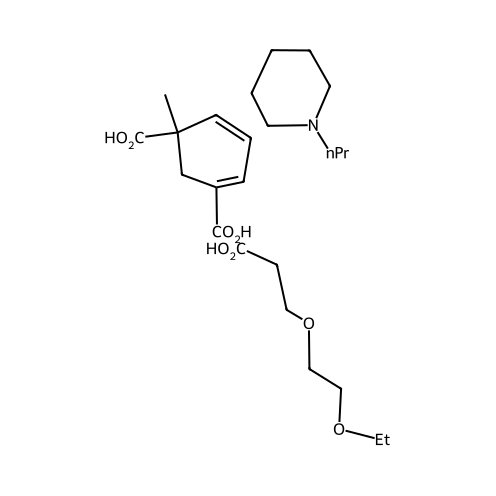 CC1(C(=O)O)C=CC=C(C(=O)O)C1.CCCN1CCCCC1.CCOCCOCCC(=O)O